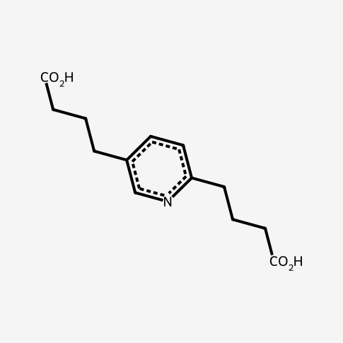 O=C(O)CCCc1ccc(CCCC(=O)O)nc1